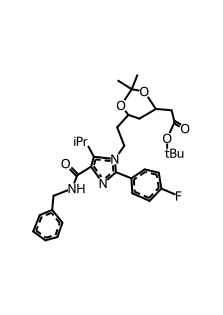 CC(C)c1c(C(=O)NCc2ccccc2)nc(-c2ccc(F)cc2)n1CCC1CC(CC(=O)OC(C)(C)C)OC(C)(C)O1